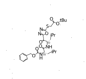 CC(C)C[C@H](NC(=O)OCc1ccccc1)C(=O)N[C@@H](CC(C)C)C(=O)c1nnc(SCC(=O)OC(C)(C)C)o1